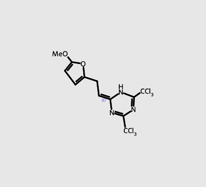 COc1ccc(C/C=C2/N=C(C(Cl)(Cl)Cl)N=C(C(Cl)(Cl)Cl)N2)o1